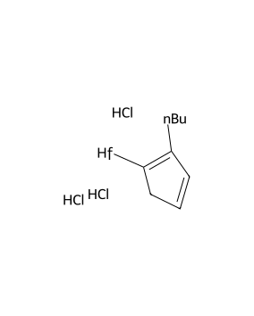 CCCCC1=[C]([Hf])CC=C1.Cl.Cl.Cl